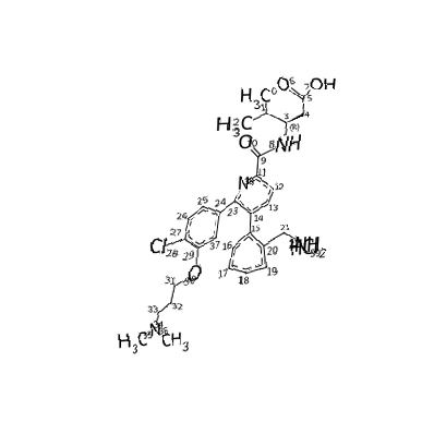 CC(C)[C@@H](CC(=O)O)NC(=O)c1ccc(-c2ccccc2CN)c(-c2ccc(Cl)c(OCCCN(C)C)c2)n1.Cl